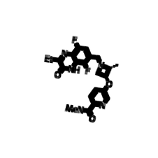 CCc1nc2c(F)cc(CN3C[C@H](Oc4ccc(C(=O)NC)nc4)[C@H]3C)c(F)c2[nH]c1=O